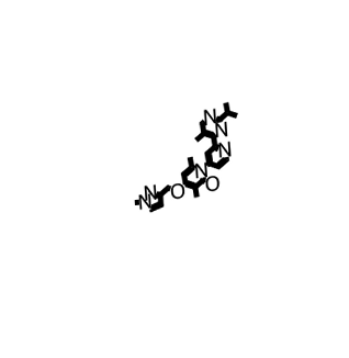 Cc1cnc(C(C)C)nc1-c1cc(-n2c(C)cc(OCc3ccn(C)n3)c(C)c2=O)ccn1